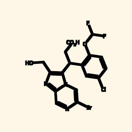 O=C(O)CC(c1cc(Cl)ccc1OC(F)F)c1c(CO)nc2cnc(Br)cn12